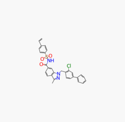 C=Cc1ccc(S(=O)(=O)NC(=O)c2ccc3c(C)nn(Cc4ccc(-c5ccccc5)cc4Cl)c3c2)cc1